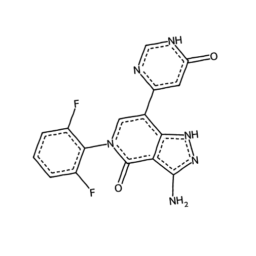 Nc1n[nH]c2c(-c3cc(=O)[nH]cn3)cn(-c3c(F)cccc3F)c(=O)c12